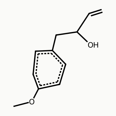 C=CC(O)Cc1ccc(OC)cc1